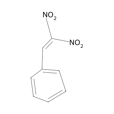 O=[N+]([O-])C(=Cc1ccccc1)[N+](=O)[O-]